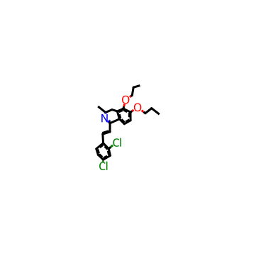 CCCOc1ccc2c(c1OCCC)CC(C)N=C2C=Cc1ccc(Cl)cc1Cl